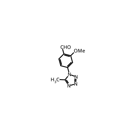 COc1cc(-n2nnnc2C)ccc1C=O